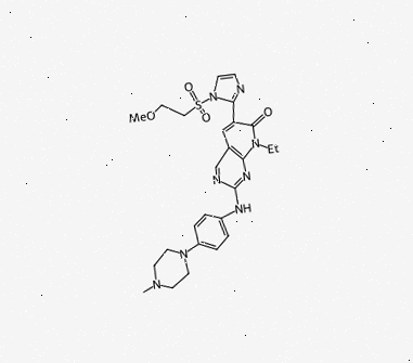 CCn1c(=O)c(-c2nccn2S(=O)(=O)CCOC)cc2cnc(Nc3ccc(N4CCN(C)CC4)cc3)nc21